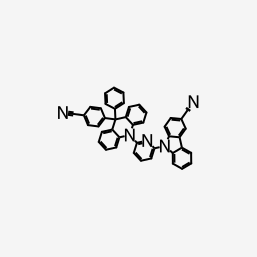 N#Cc1ccc(C2(c3ccccc3)c3ccccc3N(c3cccc(-n4c5ccccc5c5cc(C#N)ccc54)n3)c3ccccc32)cc1